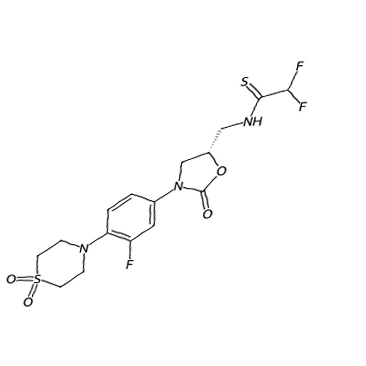 O=C1O[C@@H](CNC(=S)C(F)F)CN1c1ccc(N2CCS(=O)(=O)CC2)c(F)c1